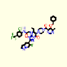 CCc1c(N2CCN(C(=O)c3ncnc(C)c3OCc3ccccc3)CC2)c(=O)n2nc(-c3cc4ccnn4cc3F)nc2n1CC(=O)Nc1ccc(C(F)(F)F)cc1Cl